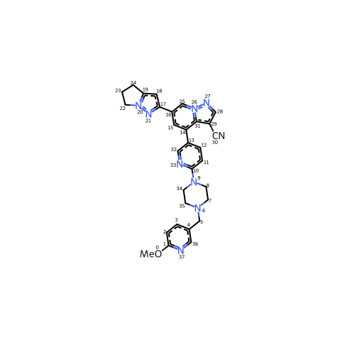 COc1ccc(CN2CCN(c3ccc(-c4cc(-c5cc6n(n5)CCC6)cn5ncc(C#N)c45)cn3)CC2)cn1